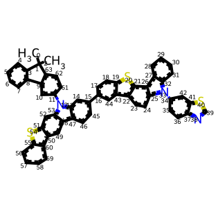 CC1(C)c2ccccc2-c2cc(-n3c4cc(-c5ccc6sc7c(ccc8c7c7ccccc7n8-c7ccc8ncsc8c7)c6c5)ccc4c4cc5c(cc43)sc3ccccc35)ccc21